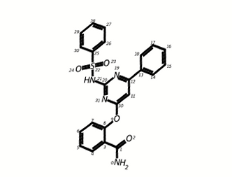 NC(=O)c1ccccc1Oc1cc(-c2ccccc2)nc(NS(=O)(=O)c2ccccc2)n1